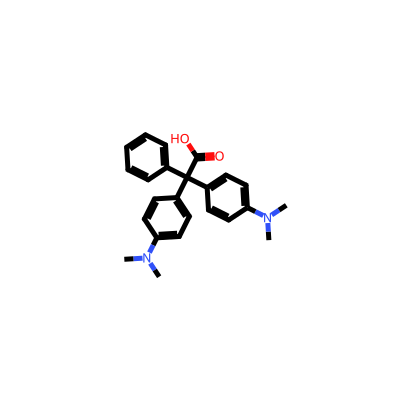 CN(C)c1ccc(C(C(=O)O)(c2ccccc2)c2ccc(N(C)C)cc2)cc1